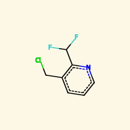 FC(F)c1ncccc1CCl